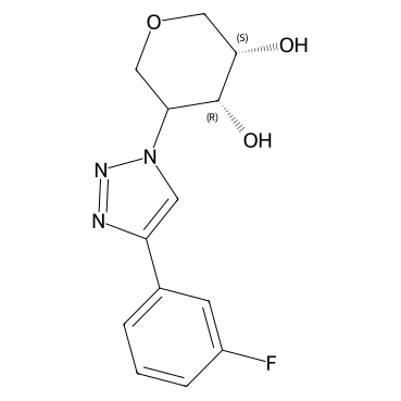 O[C@@H]1C(n2cc(-c3cccc(F)c3)nn2)COC[C@@H]1O